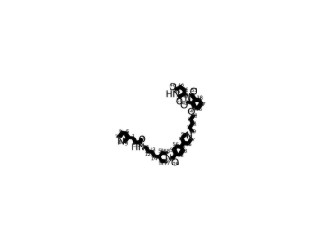 O=C(/C=C/c1cccnc1)NCCCCC1CCN(C(=O)c2ccc(C3CCN(CCCCCOc4cccc5c4C(=O)N(C4CCC(=O)NC4=O)C5=O)CC3)cc2)CC1